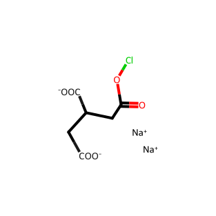 O=C([O-])CC(CC(=O)OCl)C(=O)[O-].[Na+].[Na+]